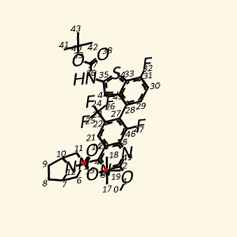 COc1nc(N2CC3CCC(C2)N3C(=O)OC(C)(C)C)c2cc(C(F)(F)F)c(-c3ccc(F)c4sc(NC(=O)OC(C)(C)C)cc34)c(F)c2n1